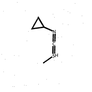 C[SH]=C=NC1CC1